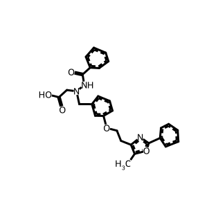 Cc1oc(-c2ccccc2)nc1CCOc1cccc(CN(CC(=O)O)NC(=O)c2ccccc2)c1